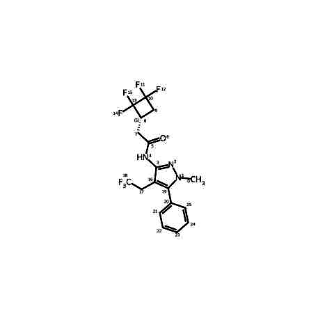 Cn1nc(NC(=O)C[C@H]2CC(F)(F)C2(F)F)c(CC(F)(F)F)c1-c1ccccc1